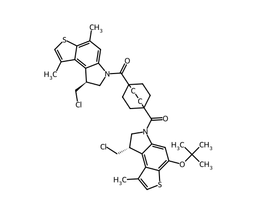 Cc1cc2c(c3c(C)csc13)[C@H](CCl)CN2C(=O)C12CCC(C(=O)N3C[C@@H](CCl)c4c3cc(OC(C)(C)C)c3scc(C)c43)(CC1)CC2